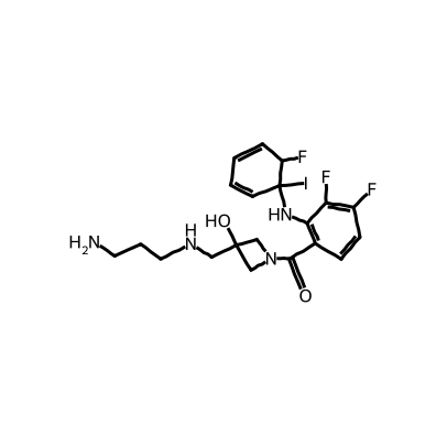 NCCCNCC1(O)CN(C(=O)c2ccc(F)c(F)c2NC2(I)C=CC=CC2F)C1